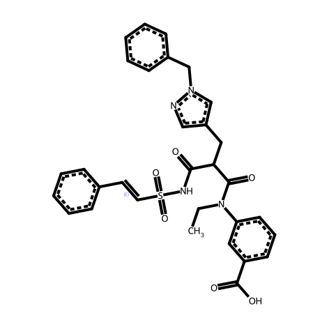 CCN(C(=O)C(Cc1cnn(Cc2ccccc2)c1)C(=O)NS(=O)(=O)/C=C/c1ccccc1)c1cccc(C(=O)O)c1